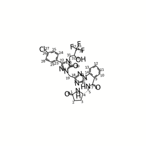 O=C1CC[C@@H](CNC(=O)c2ccccc2-n2cnc(Cn3nc(-c4ccc(Cl)cc4)n(CC(O)C(F)(F)F)c3=O)n2)N1